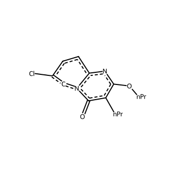 CCCOc1nc2ccc(Cl)cn2c(=O)c1CCC